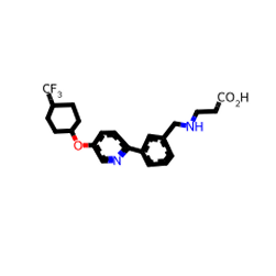 O=C(O)CCNCc1cccc(-c2ccc(OC3CCC(C(F)(F)F)CC3)cn2)c1